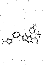 CC(=O)[C@@H](OC(C)(C)C)c1c(C)cc2nc(-c3cccc(-c4cnn(C(C)C)c4)c3)sc2c1-c1ccc(Cl)cc1